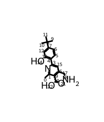 Cc1nc(-c2ccc(C(C)(C)C)cc2O)cc(CN)c1C(=O)O